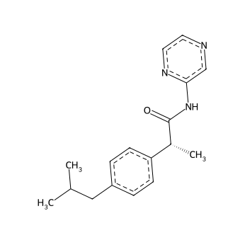 CC(C)Cc1ccc([C@@H](C)C(=O)Nc2cnccn2)cc1